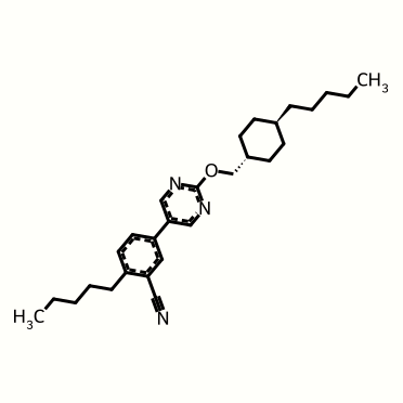 CCCCCc1ccc(-c2cnc(OC[C@H]3CC[C@H](CCCCC)CC3)nc2)cc1C#N